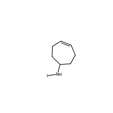 INC1CCC=CCC1